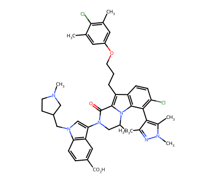 Cc1cc(OCCCc2c3n(c4c(-c5c(C)nn(C)c5C)c(Cl)ccc24)C(C)CN(c2cn(CC4CCN(C)C4)c4ccc(C(=O)O)cc24)C3=O)cc(C)c1Cl